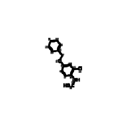 O=C(O)Nc1ccc(OCc2ccccc2)cc1Cl